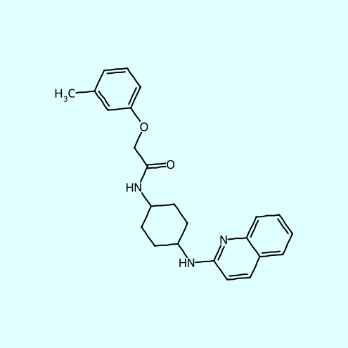 Cc1cccc(OCC(=O)NC2CCC(Nc3ccc4ccccc4n3)CC2)c1